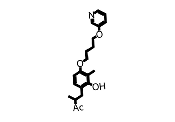 CC(=O)C(C)Cc1ccc(OCCCCOc2cccnc2)c(C)c1O